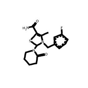 CC1=C(C(N)=O)SC(N2CCCCC2=O)N1Cc1cccc(F)c1